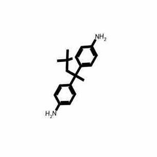 CC(C)(C)CC(C)(c1ccc(N)cc1)c1ccc(N)cc1